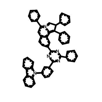 C1=[n+]2c(-c3ccccc3)cc3ccc(-c4nc(-c5ccccc5)nc(-c5cccc(-n6c7ccccc7c7ccccc76)c5)n4)cc3c2=C(c2ccccc2)C1c1ccccc1